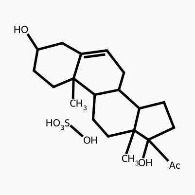 CC(=O)C1(O)CCC2C3CC=C4CC(O)CCC4(C)C3CCC21C.O=S(=O)(O)O